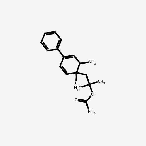 CC(C)(CC1(F)C=CC(c2ccccc2)=CC1N)OC(N)=O